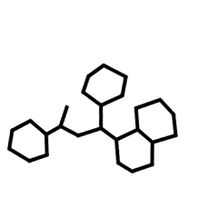 CC(CC(C1CCCCC1)C1CCCC2CCCCC21)C1CCCCC1